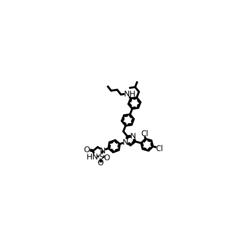 CCCCNc1cc(-c2ccc(Cc3nc(-c4ccc(Cl)cc4Cl)cn3-c3ccc(N4CC(=O)NS4(=O)=O)cc3)cc2)ccc1CC(C)C